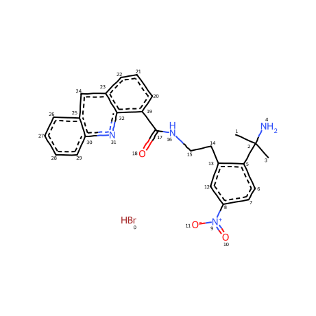 Br.CC(C)(N)c1ccc([N+](=O)[O-])cc1CCNC(=O)c1cccc2cc3ccccc3nc12